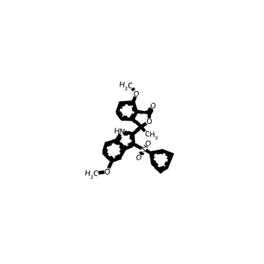 COc1ccc2[nH]c(C3(C)OC(=O)c4c(OC)cccc43)c(S(=O)(=O)c3ccccc3)c2c1